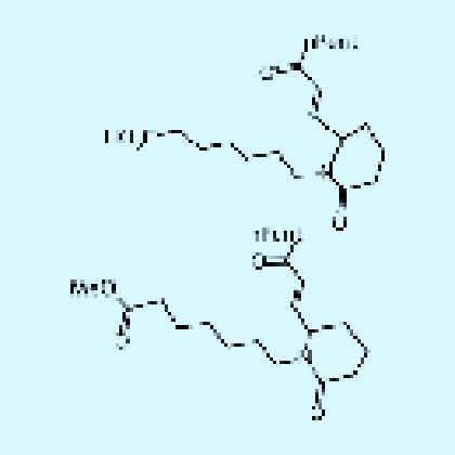 CCCCCC(=O)C=CC1CCCC(=O)N1CCCCCCC(=O)O.CCCCCC(=O)C=CC1CCCC(=O)N1CCCCCCC(=O)OC